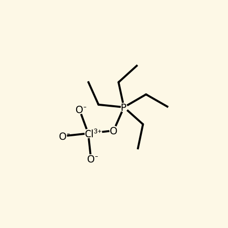 CCP(CC)(CC)(CC)O[Cl+3]([O-])([O-])[O-]